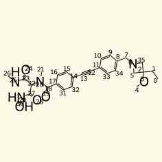 CCC1(OC)CN(Cc2ccc(C#Cc3ccc(C(=O)N(C)C(C(=O)NC)C(=O)NO)cc3)cc2)C1